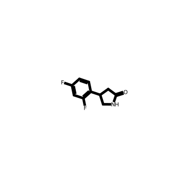 O=C1CC(c2ccc(F)cc2F)CN1